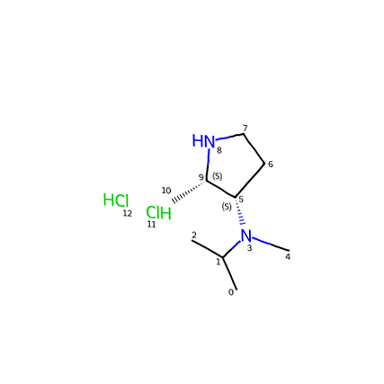 CC(C)N(C)[C@H]1CCN[C@H]1C.Cl.Cl